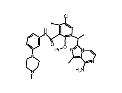 Cc1nc(C(C)c2cc(Cl)c(F)c(C(=O)Nc3cccc(N4CCN(C)CC4)c3)c2OC(C)C)n2ccnc(N)c12